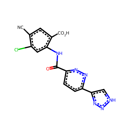 N#Cc1cc(C(=O)O)c(NC(=O)c2ccc(-c3c[nH]nn3)nn2)cc1Cl